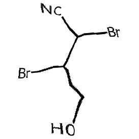 N#CC(Br)C(Br)CO